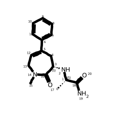 C[C@H](N[C@H]1CC(c2ccccc2)=CCN(C)C1=O)C(N)=O